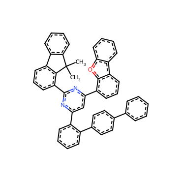 CC1(C)c2ccccc2-c2cccc(-c3nc(-c4ccccc4-c4ccc(-c5ccccc5)cc4)cc(-c4cccc5c4oc4ccccc45)n3)c21